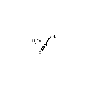 [CaH2].[O]=[Al][SiH3]